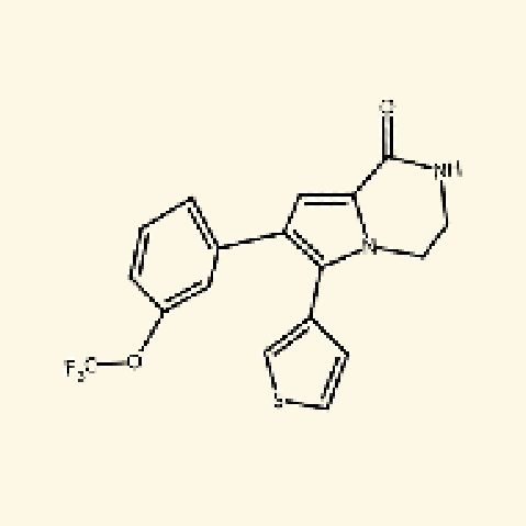 O=C1NCCn2c1cc(-c1cccc(OC(F)(F)F)c1)c2-c1ccsc1